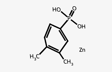 Cc1ccc(P(=O)(O)O)cc1C.[Zn]